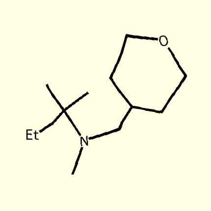 CCC(C)(C)N(C)CC1CCOCC1